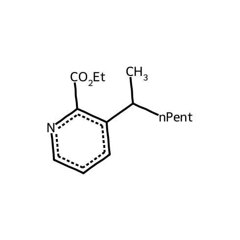 CCCCCC(C)c1cccnc1C(=O)OCC